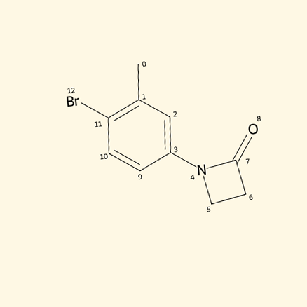 Cc1cc(N2CCC2=O)ccc1Br